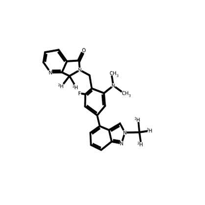 [2H]C1([2H])c2ncccc2C(=O)N1Cc1c(F)cc(-c2cccc3nn(C([2H])([2H])[2H])cc23)cc1N(C)C